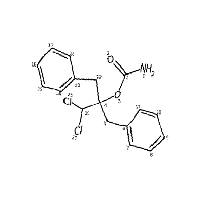 NC(=O)OC(Cc1ccccc1)(Cc1ccccc1)C(Cl)Cl